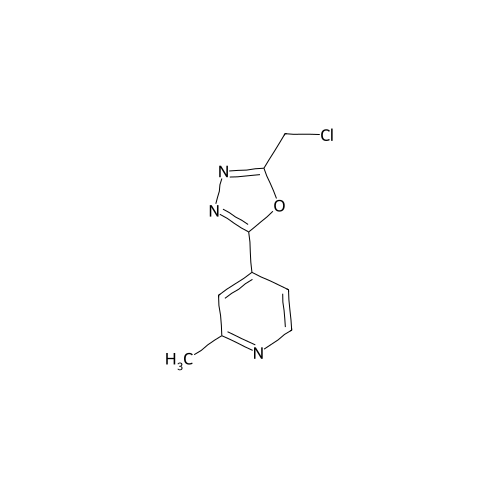 Cc1cc(-c2nnc(CCl)o2)ccn1